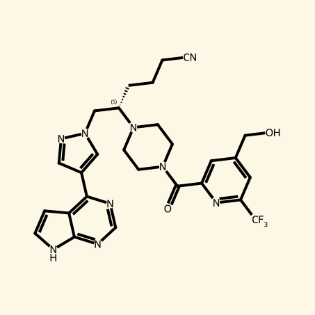 N#CCCC[C@@H](Cn1cc(-c2ncnc3[nH]ccc23)cn1)N1CCN(C(=O)c2cc(CO)cc(C(F)(F)F)n2)CC1